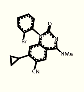 CNc1nc(=O)n(-c2ccccc2Br)c2cc(C3CC3)c(C#N)cc12